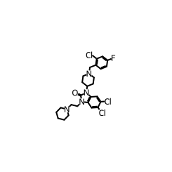 O=c1n(CCN2CCCCC2)c2cc(Cl)c(Cl)cc2n1C1CCN(Cc2ccc(F)cc2Cl)CC1